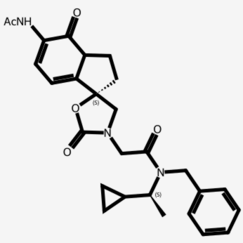 CC(=O)NC1=CC=C2C(CC[C@@]23CN(CC(=O)N(Cc2ccccc2)[C@@H](C)C2CC2)C(=O)O3)C1=O